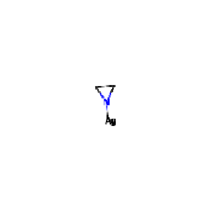 [Ag][N]1CC1